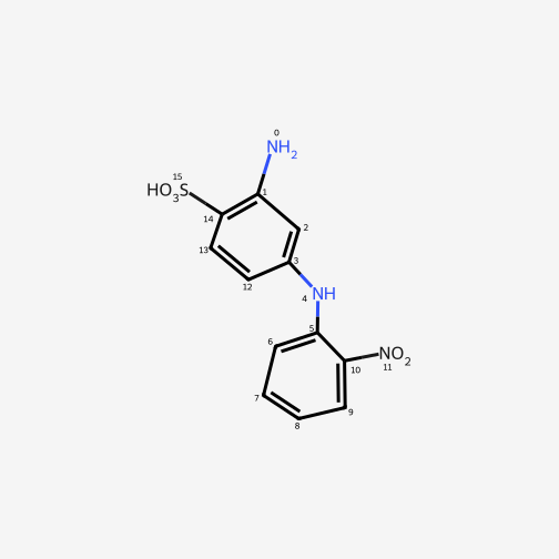 Nc1cc(Nc2ccccc2[N+](=O)[O-])ccc1S(=O)(=O)O